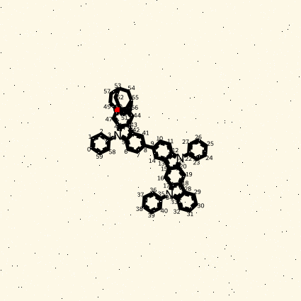 c1ccc(-n2c3ccc(-c4ccc5c(c4)c4cc6c(cc4n5-c4ccccc4)c4ccccc4n6-c4ccccc4)cc3c3cc4c(cc32)C2CC3CC(CC4C3)C2)cc1